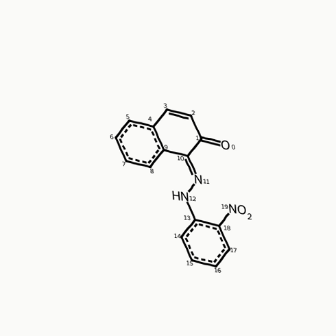 O=C1C=Cc2ccccc2/C1=N\Nc1ccccc1[N+](=O)[O-]